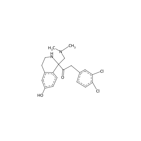 CN(C)CC1(C(=O)Cc2ccc(Cl)c(Cl)c2)NCCc2cc(O)ccc21